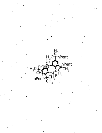 CCCCCC(C)(C)c1cc2c(c(C(C)(C)CCCCC)c1)OP(F)Oc1c(cc(C(C)(C)CCCCC)cc1C(C)(C)CCCCC)C2C